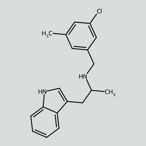 Cc1cc(Cl)cc(CNC(C)Cc2c[nH]c3ccccc23)c1